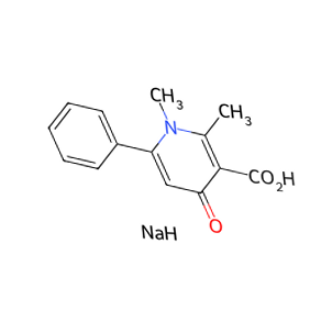 Cc1c(C(=O)O)c(=O)cc(-c2ccccc2)n1C.[NaH]